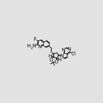 CC1(C)O[C@@H]2[C@@H](CCc3ccc4cc(F)c(N)nc4c3)C[C@@H](n3ccc4c(Cl)ncnc43)[C@@H]2O1